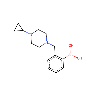 OB(O)c1ccccc1CN1CCN(C2CC2)CC1